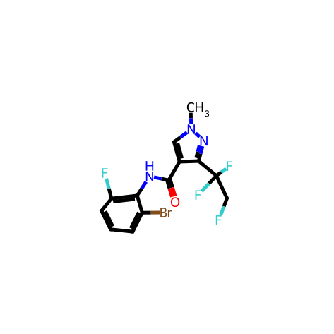 Cn1cc(C(=O)Nc2c(F)cccc2Br)c(C(F)(F)CF)n1